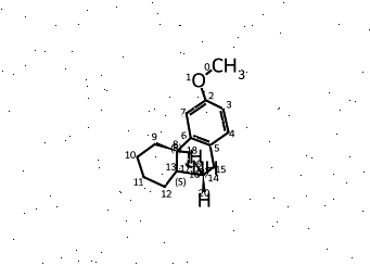 COc1ccc2c(c1)[C@@]13CCCC[C@@H]1[C@@H](C2)NCC3